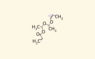 C=CC(=O)OC(C)OC(C)O/C=C\C